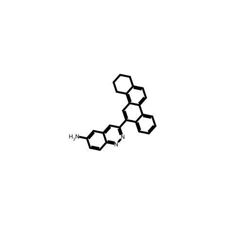 Nc1ccc2nnc(-c3cc4c5c(ccc4c4ccccc34)CCCC5)cc2c1